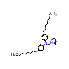 CCCCCCCCc1ccc(N(Cn2ccnn2)c2ccc(CCCCCCCC)cc2)cc1